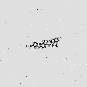 Nc1nccc(Sc2cnc(N3CCC4(CC3)Cc3ccccc3[C@H]4N)c(=O)[nH]2)c1Cl